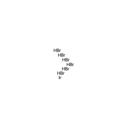 Br.Br.Br.Br.Br.Br.[Ir]